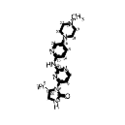 CC(C)[C@H]1CNC(=O)N1c1ccnc(Nc2ccc(N3CCN(C)CC3)cn2)n1